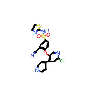 N#Cc1cc(S(=O)(=O)Nc2nccs2)ccc1Oc1cnc(Cl)cc1-c1ccncc1